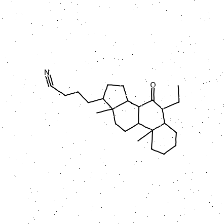 CCC1C(=O)C2C3CCC(CCCC#N)C3(C)CCC2C2(C)CCCCC12